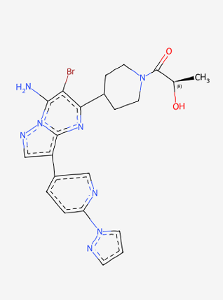 C[C@@H](O)C(=O)N1CCC(c2nc3c(-c4ccc(-n5cccn5)nc4)cnn3c(N)c2Br)CC1